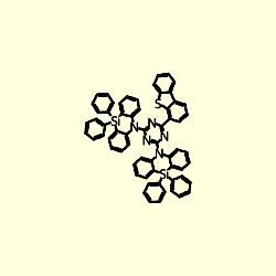 c1ccc([Si]2(c3ccccc3)c3ccccc3N(c3nc(-c4cccc5c4sc4ccccc45)nc(N4c5ccccc5[Si](c5ccccc5)(c5ccccc5)c5ccccc54)n3)c3ccccc32)cc1